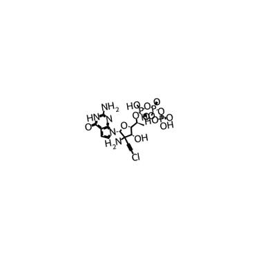 C[C@H](OP(=O)(O)OP(=O)(O)OP(=O)(O)O)[C@H]1O[C@@H](n2ccc3c(=O)[nH]c(N)nc32)C(N)(C#CCl)[C@H]1O